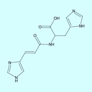 O=C(/C=C/c1c[nH]cn1)NC(Cc1cnc[nH]1)C(=O)O